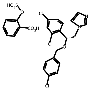 Clc1ccc(CO[C@@H](Cn2ccnc2)c2ccc(Cl)cc2Cl)cc1.O=C(O)c1ccccc1OS(=O)(=O)O